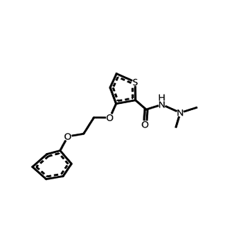 CN(C)NC(=O)c1sccc1OCCOc1ccccc1